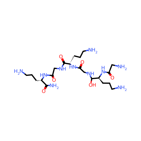 NCCC[C@H](NC(=O)CNC(=O)[C@H](CCCN)NC(=O)CNC(O)[C@H](CCCN)NC(=O)CN)C(N)=O